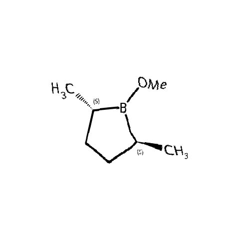 COB1[C@@H](C)CC[C@@H]1C